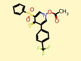 CC(=O)On1cc(-c2ccc(C(F)(F)F)cc2)c(=S)c(S(=O)(=O)c2ccccc2)c1